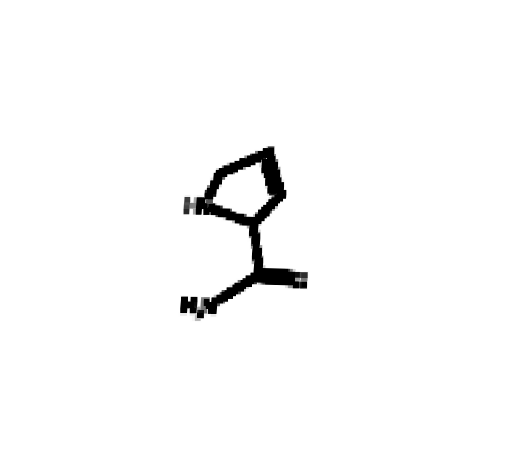 NC(=O)[C]1C=CCN1